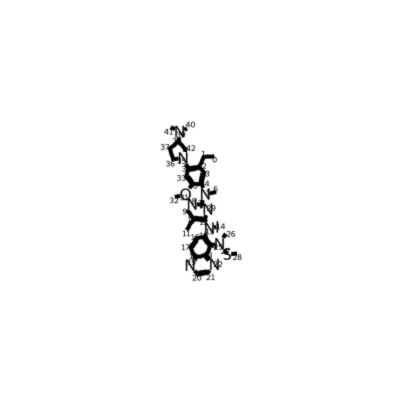 CCc1cc(N(C)c2ncc(C)c(N(I)c3ccc4nccnc4c3N(C)SC)n2)c(OC)cc1N1CCC(N(C)C)C1